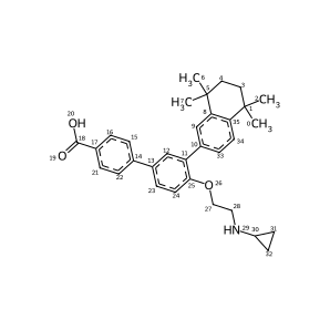 CC1(C)CCC(C)(C)c2cc(-c3cc(-c4ccc(C(=O)O)cc4)ccc3OCCNC3CC3)ccc21